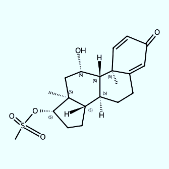 C[C@]12C[C@H](O)[C@H]3[C@@H](CCC4=CC(=O)C=C[C@@]43C)[C@@H]1CC[C@@H]2OS(C)(=O)=O